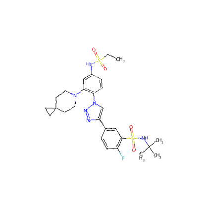 CCS(=O)(=O)Nc1ccc(-n2cc(-c3ccc(F)c(S(=O)(=O)NC(C)(C)C)c3)nn2)c(N2CCC3(CC2)CC3)c1